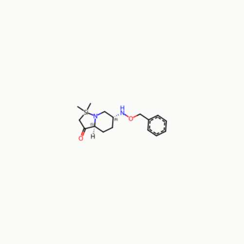 C[Si]1(C)CC(=O)[C@@H]2CC[C@@H](NOCc3ccccc3)CN21